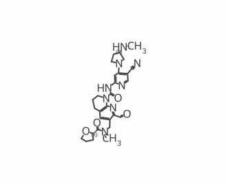 CN[C@@H]1CCN(c2cc(NC(=O)N3CCCc4cc(CN(C)C(=O)[C@H]5CCCO5)c(C=O)nc43)ncc2C#N)C1